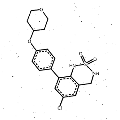 O=S1(=O)NCc2cc(Cl)cc(-c3ccc(OC4CCOCC4)cc3)c2N1